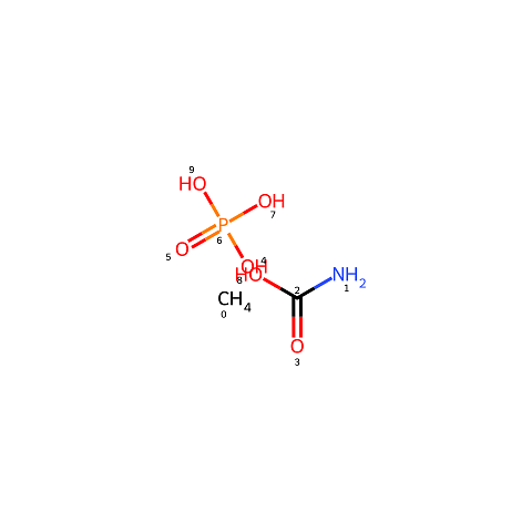 C.NC(=O)O.O=P(O)(O)O